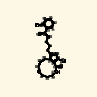 CCc1nn(CCCOC(=O)c2ccccc2Cl)c2c1C(=O)NCCCOCCC2